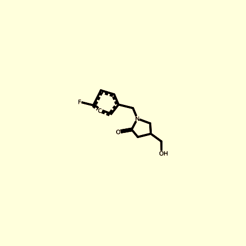 O=C1CC(CO)CN1Cc1ccc(F)cc1